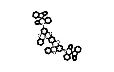 c1ccc2c(c1)Oc1cc(N3c4ccccc4C4(c5ccccc5-c5ccccc54)c4ccccc43)cc3c1B2c1cc2c(cc1O3)Oc1cc(N3c4ccccc4C4(c5ccccc5-c5ccccc54)c4ccccc43)cc3c1B2c1ccccc1O3